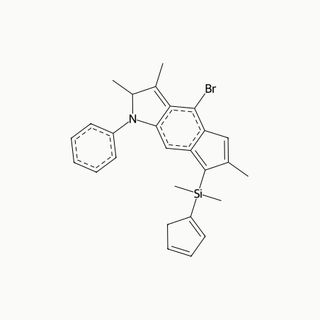 CC1=Cc2c(Br)c3c(cc2=C1[Si](C)(C)C1=CC=CC1)N(c1ccccc1)C(C)C=3C